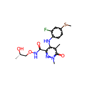 CSc1ccc(Nc2c(C(=O)NOC[C@H](C)O)nn(C)c(=O)c2C)c(F)c1